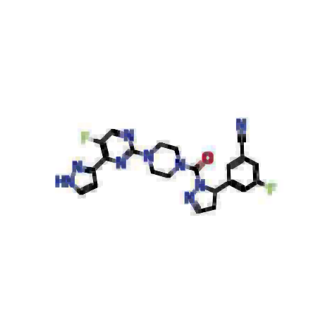 N#Cc1cc(F)cc(C2CC=NN2C(=O)N2CCN(c3ncc(F)c(-c4cc[nH]n4)n3)CC2)c1